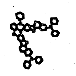 c1ccc(N(c2ccccc2)c2ccc3c(ccc4c5cc6c(cc5oc34)B3c4cc5oc7c8ccc(N(c9ccccc9)c9ccccc9)cc8ccc7c5cc4N(c4ccccc4)c4cccc(c43)O6)c2)cc1